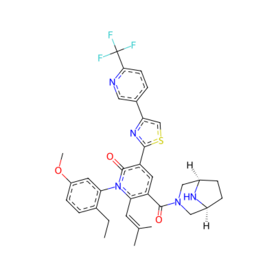 CCc1ccc(OC)cc1-n1c(C=C(C)C)c(C(=O)N2C[C@H]3CC[C@@H](C2)N3)cc(-c2nc(-c3ccc(C(F)(F)F)nc3)cs2)c1=O